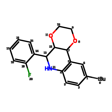 CC(C)(C)c1ccc2c(c1)C1OCCOC1C(c1ccccc1F)N2